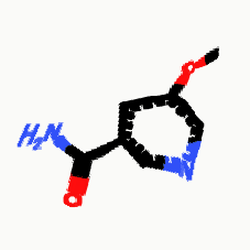 COc1cncc(C(N)=O)c1